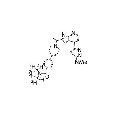 [2H]C([2H])([2H])N(C(=O)c1ccc(C2=CCN([C@@H](C)c3cc4c(-c5ccc(NC)nn5)ccnc4n3C)CC2)cc1)C([2H])([2H])[2H]